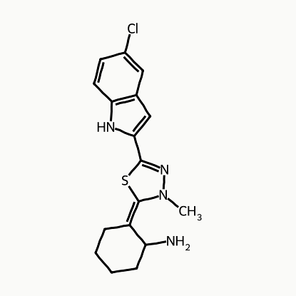 CN1N=C(c2cc3cc(Cl)ccc3[nH]2)SC1=C1CCCCC1N